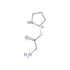 NCC(=O)[CH][C@H]1CCCN1